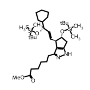 COC(=O)CCCCCc1n[nH]c2c1[C@@H](/C=C/[C@H](O[Si](C)(C)C(C)(C)C)C1CCCCC1)[C@H](O[Si](C)(C)C(C)(C)C)C2